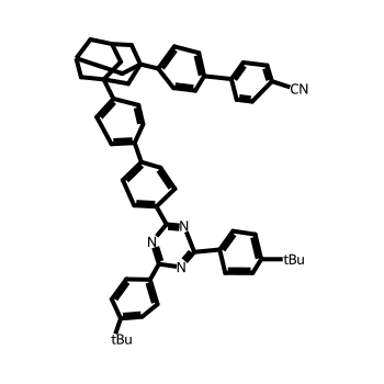 CC(C)(C)c1ccc(-c2nc(-c3ccc(-c4ccc(C56CC7CC(CC(c8ccc(-c9ccc(C#N)cc9)cc8)(C7)C5)C6)cc4)cc3)nc(-c3ccc(C(C)(C)C)cc3)n2)cc1